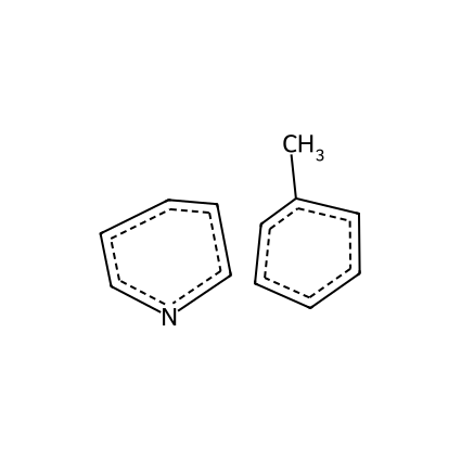 Cc1ccccc1.c1ccncc1